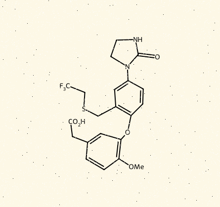 COc1ccc(CC(=O)O)cc1Oc1ccc(N2CCNC2=O)cc1CSCC(F)(F)F